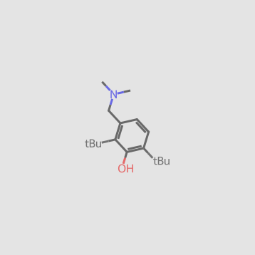 CN(C)Cc1ccc(C(C)(C)C)c(O)c1C(C)(C)C